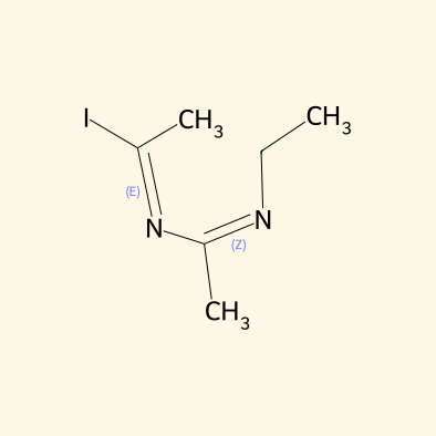 CC/N=C(C)\N=C(/C)I